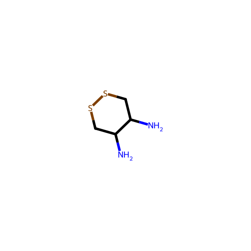 NC1CSSCC1N